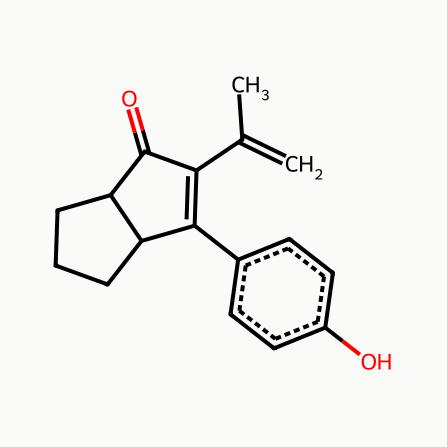 C=C(C)C1=C(c2ccc(O)cc2)C2CCCC2C1=O